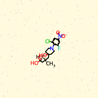 CC(C)(CC(=O)O)CC1(O)CCN(c2c(F)cc([N+](=O)[O-])cc2Cl)CC1